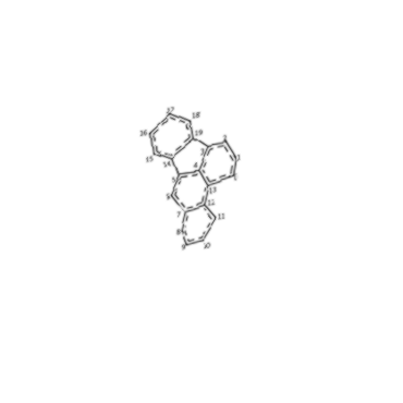 [c]1ccc2c3c(cc4ccccc4c13)-c1ccccc1-2